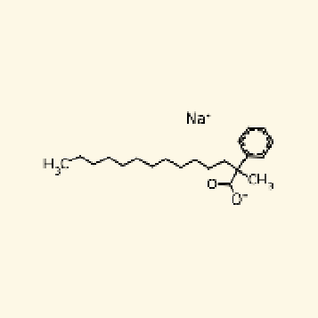 CCCCCCCCCCCCC(C)(C(=O)[O-])c1ccccc1.[Na+]